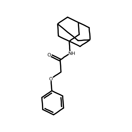 O=C(COc1ccccc1)NC12CC3CC(CC(C3)C1)C2